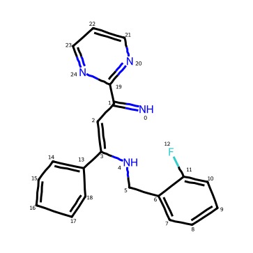 N=C(/C=C(\NCc1ccccc1F)c1ccccc1)c1ncccn1